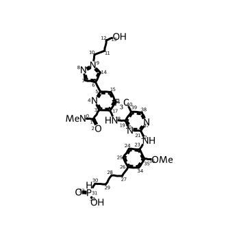 CNC(=O)c1nc(-c2cnn(CCCO)c2)ccc1Nc1nc(Nc2ccc(CCCC[PH](=O)O)cc2OC)ncc1C(F)(F)F